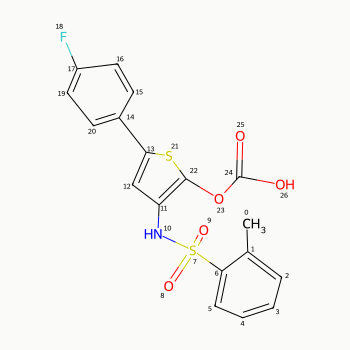 Cc1ccccc1S(=O)(=O)Nc1cc(-c2ccc(F)cc2)sc1OC(=O)O